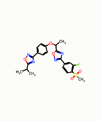 CC(C)c1nc(-c2ccc(OC(C)c3nc(-c4ccc(S(C)(=O)=O)c(F)c4)no3)cc2)no1